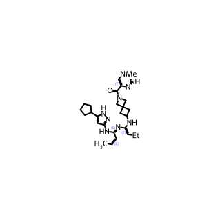 C\C=C/C(=N\C(=C\CC)NC1CC2(C1)CN(C(=O)/C(=C/NC)N=N)C2)Nc1cc(C2CCCC2)[nH]n1